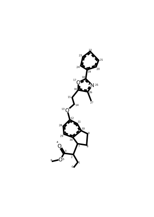 CCC(C(=O)OC)C1CCc2cc(OCCc3oc(-c4ccccc4)nc3C)ccc21